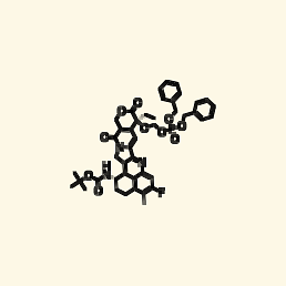 CC[C@@]1(OCOP(=O)(OCc2ccccc2)OCc2ccccc2)C(=O)OCc2c1cc1n(c2=O)Cc2c-1nc1cc(F)c(C)c3c1c2[C@@H](NC(=O)OC(C)(C)C)CC3